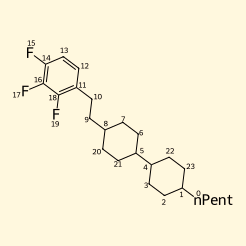 CCCCCC1CCC(C2CCC(CCc3ccc(F)c(F)c3F)CC2)CC1